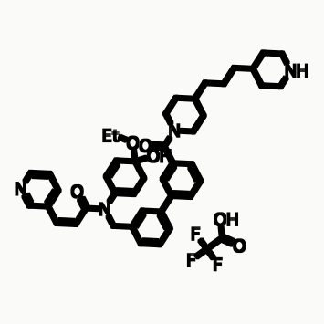 CCOC1(O)C=CC(N(Cc2cccc(-c3cccc(C(=O)N4CCC(CCCC5CCNCC5)CC4)c3)c2)C(=O)C=Cc2cccnc2)=CC1.O=C(O)C(F)(F)F